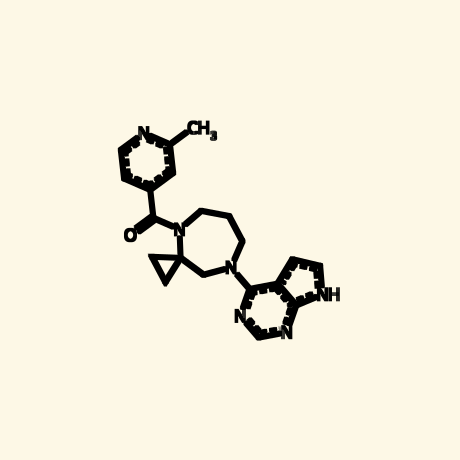 Cc1cc(C(=O)N2CCCN(c3ncnc4[nH]ccc34)CC23CC3)ccn1